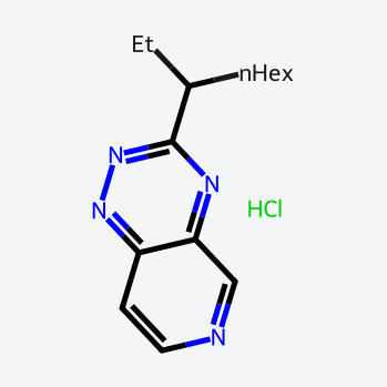 CCCCCCC(CC)c1nnc2ccncc2n1.Cl